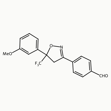 COc1cccc(C2(C(F)(F)F)CC(c3ccc(C=O)cc3)=NO2)c1